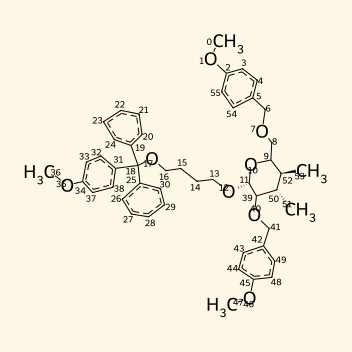 COc1ccc(COCC2O[C@@H](OCCCCOC(c3ccccc3)(c3ccccc3)c3ccc(OC)cc3)C(OCc3ccc(OC)cc3)[C@@H](C)[C@@H]2C)cc1